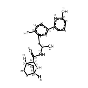 N#CC(Cc1cc(-c2cccc(O)n2)ccc1F)NC(=O)[C@H]1N[C@@H]2CC[C@H]1C2